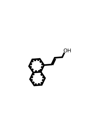 OCC=Cc1cccc2ccccc12